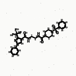 O=C(NCCNC(=O)N1CCN(S(=O)(=O)c2ccccc2)CC1)c1cn(-c2ccccc2)nc1C(F)(F)F